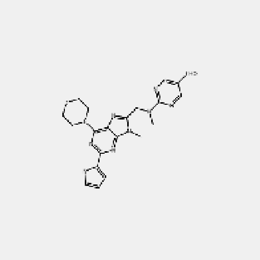 CN(Cc1nc2c(N3CCOCC3)nc(-c3ccc[nH]3)nc2n1C)c1ncc(C=O)cn1